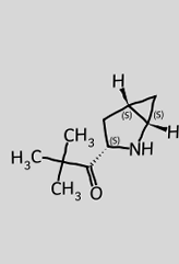 CC(C)(C)C(=O)[C@@H]1C[C@@H]2C[C@@H]2N1